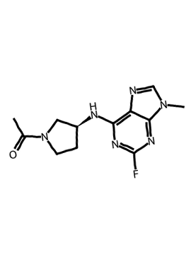 CC(=O)N1CC[C@H](Nc2nc(F)nc3c2ncn3C)C1